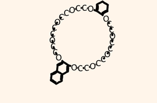 C1=C2OCCOCCOCCOCCOc3cc4ccccc4cc3OCCOCCOCCOCCOC2=CCC1